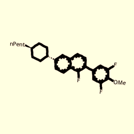 CCCCC[C@H]1CC[C@H](c2ccc3c(F)c(-c4cc(F)c(OC)c(F)c4)ccc3c2)CC1